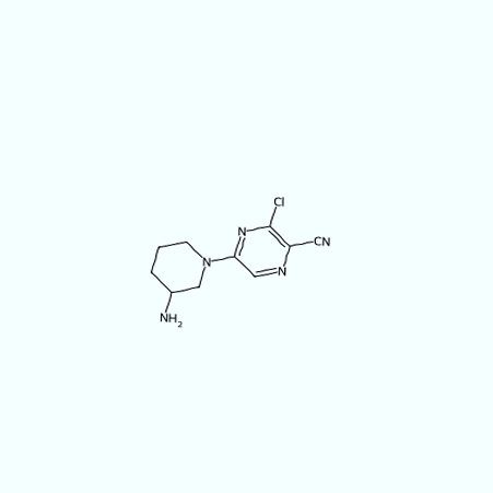 N#Cc1ncc(N2CCCC(N)C2)nc1Cl